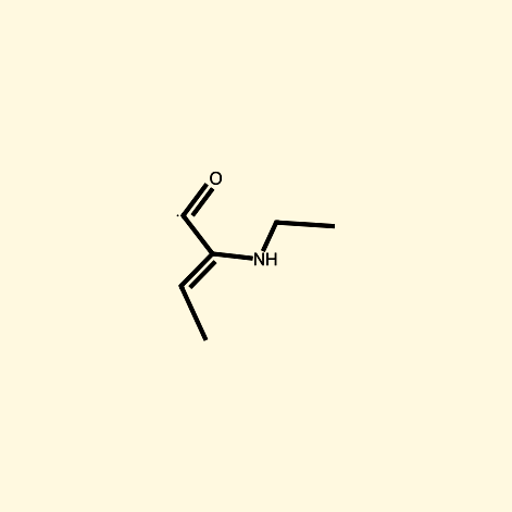 CC=C([C]=O)NCC